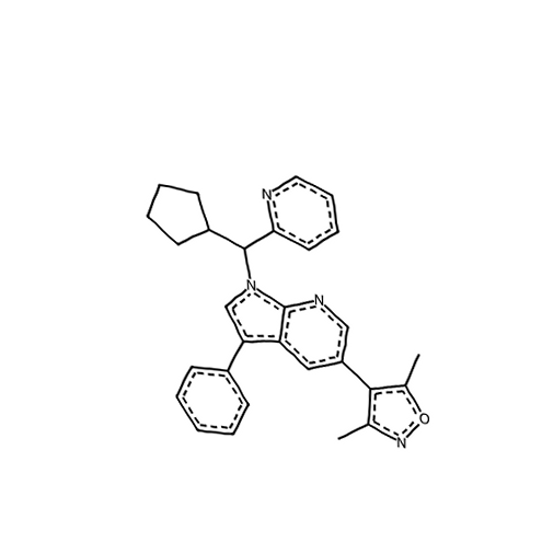 Cc1noc(C)c1-c1cnc2c(c1)c(-c1ccccc1)cn2C(c1ccccn1)C1CCCC1